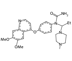 CCC(N1CCN(C)CC1)N(C(N)=O)c1ccc(Oc2ccnc3cc(OC)c(OC)cc23)cc1